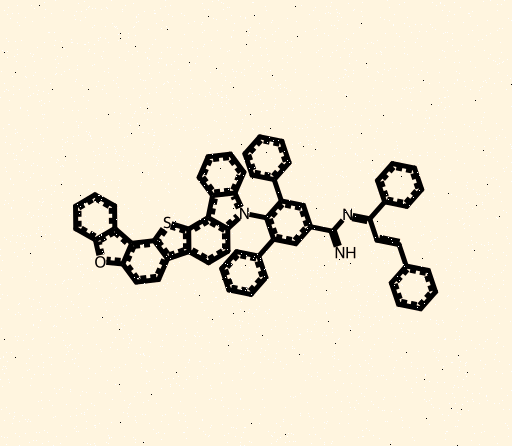 N=C(/N=C(\C=C\c1ccccc1)c1ccccc1)c1cc(-c2ccccc2)c(-n2c3ccccc3c3c4sc5c(ccc6oc7ccccc7c65)c4ccc32)c(-c2ccccc2)c1